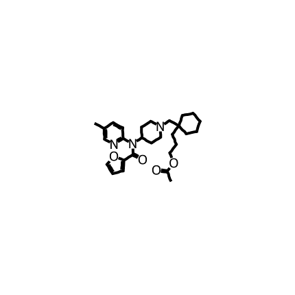 CC(=O)OCCCC1(CN2CCC(N(C(=O)c3ccco3)c3ccc(C)cn3)CC2)CCCCC1